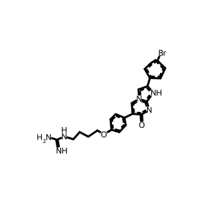 N=C(N)NCCCCOc1ccc(-c2cn3cc(-c4ccc(Br)cc4)[nH]c3nc2=O)cc1